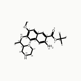 COc1cc2cc(C(=O)OC(C)(C)C)c(N)cc2cc1OC(C)C1CNCCO1